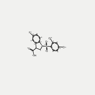 O=C(O)C1CN(S(=O)(=O)c2ccc(Cl)cc2Cl)c2ccc(F)cc21